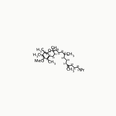 COc1c(C)c(C)c2c(c1C)CCC(C)(CCC[C@H](C)CCC[C@H](C)CCCC(C)C)O2